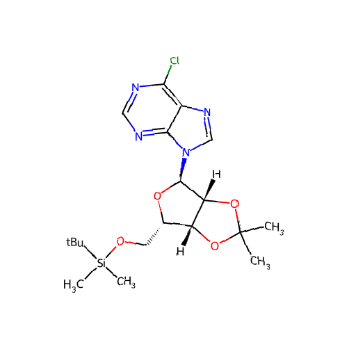 CC1(C)O[C@@H]2[C@H](O1)[C@H](CO[Si](C)(C)C(C)(C)C)O[C@H]2n1cnc2c(Cl)ncnc21